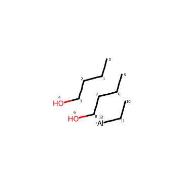 CCCCO.CCCCO.C[CH2][Al]